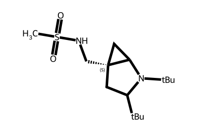 CC(C)(C)C1C[C@@]2(CNS(C)(=O)=O)CC2N1C(C)(C)C